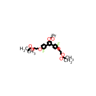 C=C(C)C(=O)OCCCOc1ccc(-c2cc(OC(=O)C(C)C)cc(-c3ccc(OCCCOC(=O)C(=C)C)c(F)c3)c2)cc1F